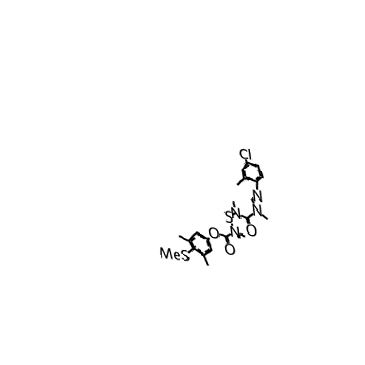 CSc1c(C)cc(OC(=O)N(C)SN(C)C(=O)N(C)C=Nc2ccc(Cl)cc2C)cc1C